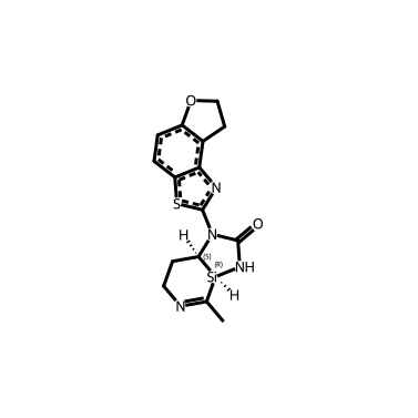 CC1=NCC[C@H]2N(c3nc4c5c(ccc4s3)OCC5)C(=O)N[Si@@H]12